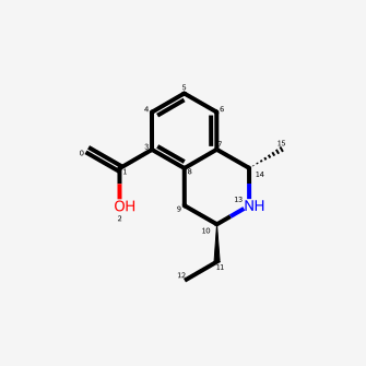 C=C(O)c1cccc2c1C[C@H](CC)N[C@H]2C